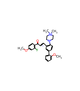 COc1ccc(C(=O)/C=C/c2cc(-c3ccccc3OC)ccc2N2CC[N+](C)(C)CC2)c(F)c1